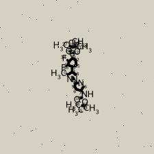 Cc1nn(-c2ccc(NC(=O)OC(C)(C)C)cn2)cc1-c1ccc(B2OC(C)(C)C(C)(C)O2)c(F)c1F